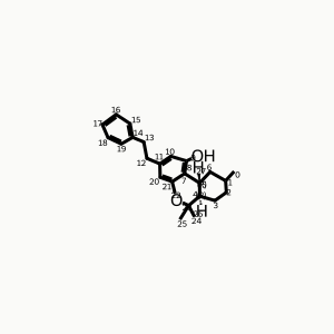 CC1CC[C@@H]2[C@@H](C1)c1c(O)cc(CCc3ccccc3)cc1OC2(C)C